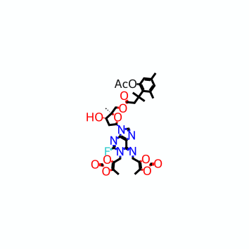 CC(=O)Oc1cc(C)cc(C)c1C(C)(C)CC(=O)OC[C@@]1(C)O[C@@H](n2cnc3/c(=N/Cc4oc(=O)oc4C)n(Cc4oc(=O)oc4C)c(F)nc32)C[C@@H]1O